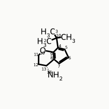 CC(C)(C)c1cccc2c1OCC[C@H]2N